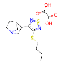 CCCCSc1nsnc1C1CN2CCC1C2.O=C(O)C(=O)O